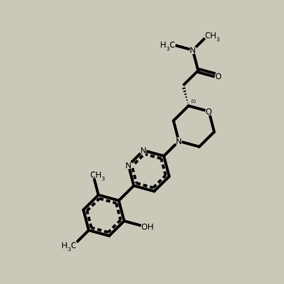 Cc1cc(C)c(-c2ccc(N3CCO[C@@H](CC(=O)N(C)C)C3)nn2)c(O)c1